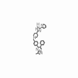 Cc1cnn2cc(-c3ccccc3)c(-c3ccc(CN4CCC(c5n[nH]c(-c6ccccn6)n5)CC4)cc3)nc12